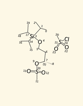 CC(C)[Si](OCC[C@H](C)OS(C)(=O)=O)(C(C)C)C(C)C.CS(=O)(=O)Cl